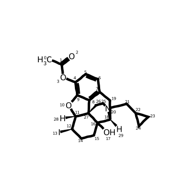 CC(=O)Oc1ccc2c3c1O[C@H]1[C@H](I)CCC4(O)[C@@H](C2)N(CC2CC2)CC[C@]314